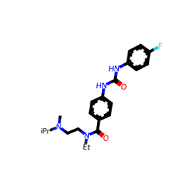 CCN(CCN(C)C(C)C)C(=O)c1ccc(NC(=O)Nc2ccc(F)cc2)cc1